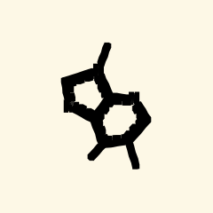 Cc1cnc2c(ncn2C)c1C